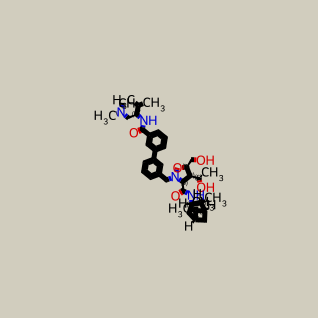 CC(C)[C@H](CN(C)C)NC(=O)c1cccc(-c2cccc(CN3O[C@@H](CO)[C@@H]([C@H](C)O)[C@H]3C(=O)N[C@H]3C[C@H]4C[C@@H]([C@@H]3C)C4(C)C)c2)c1